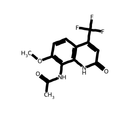 COc1ccc2c(C(F)(F)F)cc(=O)[nH]c2c1NC(C)=O